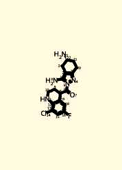 Nc1c2c(nn1C(=O)C1CCNc3c(Cl)cc(F)cc31)CC[C@@H](N)C2